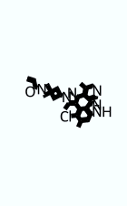 C=CC(=O)N1CC2(CC(n3nc(-c4ccncc4C)c(-c4c(Cl)c(C)cc5[nH]ncc45)c3C)C2)C1